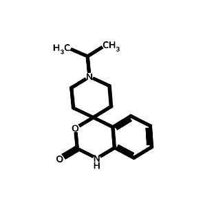 CC(C)N1CCC2(CC1)OC(=O)Nc1ccccc12